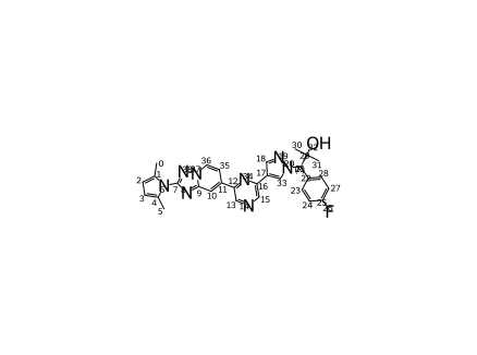 Cc1ccc(C)n1-c1nc2cc(-c3cncc(-c4cnn([C@H](c5ccc(F)cc5)C(C)(C)O)c4)n3)ccn2n1